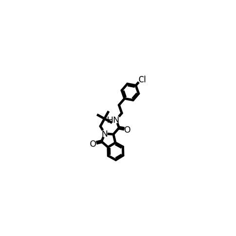 CC(C)(C)CN1C(=O)c2ccccc2C1C(=O)NCCc1ccc(Cl)cc1